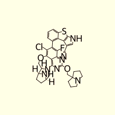 N#Cc1c[nH]c2sc3cccc(-c4c(Cl)c5c6c(nc(OCC78CCCN7CCC8)nc6c4F)N4C[C@H]6CC[C@H](N6)[C@H]4CO5)c3c12